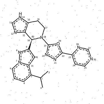 CC(C)c1cccn2nc([C@H]3c4nc[nH]c4CCN3c3nnc(-c4ccncn4)o3)cc12